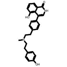 CN(CCc1ccc(O)cc1)CCc1ccc(-c2c[nH]c(=O)c3cccc(O)c23)cc1